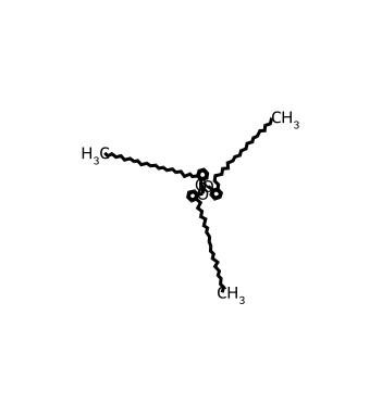 CCCCCCCCCCCCCCCCCCCCCCc1ccccc1OP(Oc1ccccc1CCCCCCCCCCCCCCCCCCCCCC)Oc1ccccc1CCCCCCCCCCCCCCCCCCCCCC